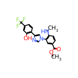 CNc1ccc(C(=O)OC)cc1-n1cnc(-c2ccc(C(F)(F)F)cc2O)c1